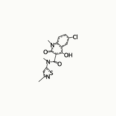 Cc1cc(N(C)C(=O)c2c(O)c3cc(Cl)ccc3n(C)c2=O)sn1